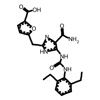 CCc1cccc(CC)c1NC(=O)Nc1[nH]c(Cc2ccc(C(=O)O)o2)nc1C(N)=O